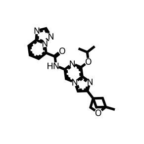 CC(C)Oc1nc(NC(=O)c2cccc3ncnn23)cn2cc(C34COC(C)(C3)C4)nc12